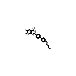 CCCCCc1ccc(-c2ccc(-c3nc(Cl)c(CC(C)CC)c(Cl)n3)cc2)cc1